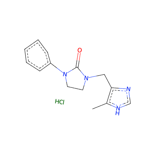 Cc1[nH]cnc1CN1CCN(c2ccccc2)C1=O.Cl